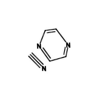 C#N.c1cnccn1